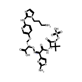 CC1(C)[C@H](NC(=O)/C(=N\O[C@@H](COc2ccc(Nc3nccn3CCCN)nc2)C(=O)O)c2csc(N)n2)C(=O)N1OS(=O)(=O)O